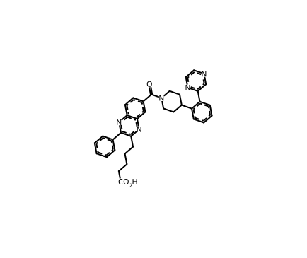 O=C(O)CCCCc1nc2cc(C(=O)N3CCC(c4ccccc4-c4cnccn4)CC3)ccc2nc1-c1ccccc1